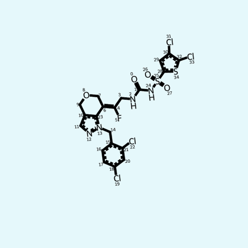 O=C(NC/C(F)=C1\COCc2cnn(Cc3ccc(Cl)cc3Cl)c21)NS(=O)(=O)c1cc(Cl)c(Cl)s1